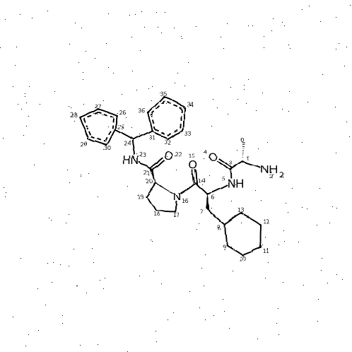 C[C@H](N)C(=O)N[C@@H](CC1CCCCC1)C(=O)N1CCC[C@H]1C(=O)NC(c1ccccc1)c1ccccc1